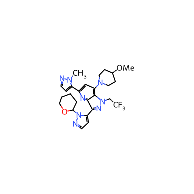 COC1CCN(c2cc(-c3ccnn3C)nc3c(-c4ccnn4C4CCCCO4)nn(CC(F)(F)F)c23)CC1